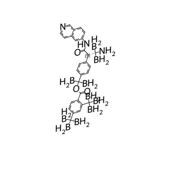 BC(B)(B)c1ccc(C(=O)OC(B)(B)c2ccc([C@H](C(=O)Nc3ccc4cnccc4c3)C(B)(B)N)cc2)c(C(B)(B)B)c1